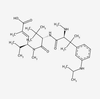 CN[C@H](C(=O)N[C@H](C(=O)N(C)[C@H](/C=C(\C)C(=O)O)C(C)C)C(C)(C)C)C(C)(C)c1cccc(NC(C)C)c1